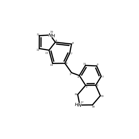 c1cc2c(c(Cc3ccc4[nH]ccc4c3)c1)CNCC2